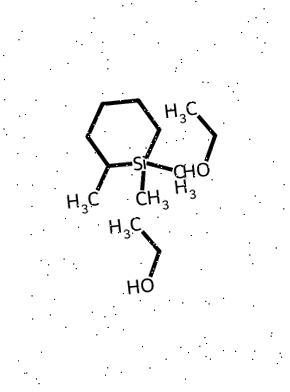 CC1CCCC[Si]1(C)C.CCO.CCO